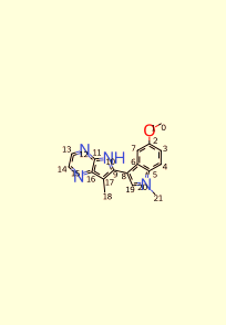 COc1ccc2c(c1)c(-c1[nH]c3nccnc3c1C)cn2C